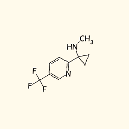 CNC1(c2ccc(C(F)(F)F)cn2)CC1